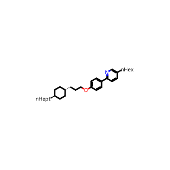 CCCCCCC[C@H]1CC[C@H](CCCOc2ccc(-c3ccc(CCCCCC)cn3)cc2)CC1